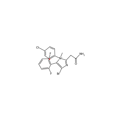 C[N+]1(c2ccc(Cl)cc2)C(CC(N)=O)=NC(Br)=C1c1c(F)cccc1F